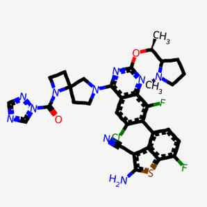 C[C@H](Oc1nc(N2CCC3(CCN3C(=O)n3cncn3)C2)c2cc(Cl)c(-c3ccc(F)c4sc(N)c(C#N)c34)c(F)c2n1)C1CCCN1C